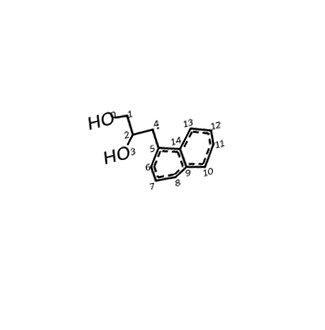 OCC(O)[CH]c1cccc2ccccc12